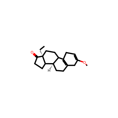 CC[C@]12CCC3C4=C(CC[C@H]3C1CCC2=O)CC(OC)=CC4